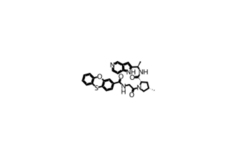 C[C@H]1C[C@@H](C(=O)N[C@H](C)c2cc3cnccc3[nH]2)N(C(=O)CNC(=O)c2ccc3c(c2)Oc2ccccc2S3)C1